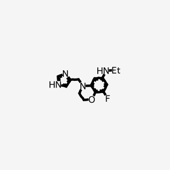 CCNc1cc(F)c2c(c1)N(Cc1c[nH]cn1)CCO2